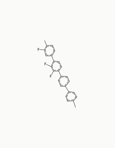 Cc1ccc(-c2ccc(-c3ccc(-c4ccc(C)c(F)c4)c(F)c3F)cc2)cc1